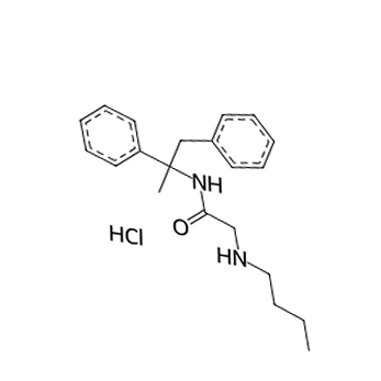 CCCCNCC(=O)NC(C)(Cc1ccccc1)c1ccccc1.Cl